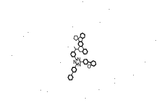 CC(c1cccc(-c2nc(-c3ccc(-c4ccccc4)cc3)nc(-c3ccc4c(c3)oc3ccccc34)n2)c1)C1Cc2ccccc2-c2cc3c(cc21)C1(CCCC1)c1ccccc1-3